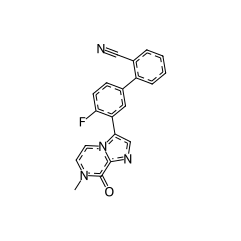 Cn1ccn2c(-c3cc(-c4ccccc4C#N)ccc3F)cnc2c1=O